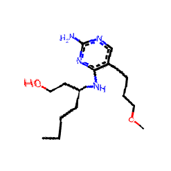 CCCC[C@@H](CCO)Nc1nc(N)ncc1CCCOC